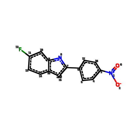 O=[N+]([O-])c1ccc(-c2nc3cc(F)ccc3[se]2)cc1